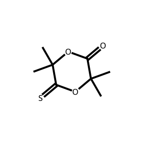 CC1(C)OC(=S)C(C)(C)OC1=O